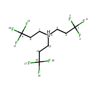 FC(F)(F)CC[SiH](CCC(F)(F)F)CCC(F)(F)F